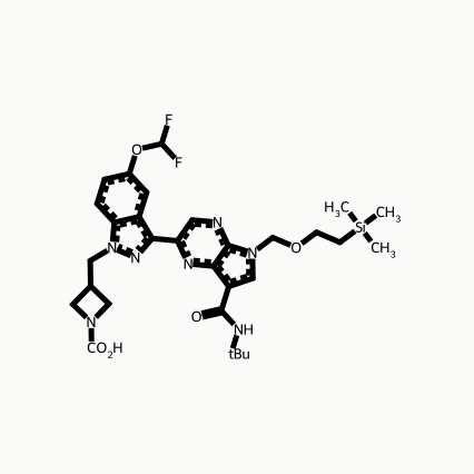 CC(C)(C)NC(=O)c1cn(COCC[Si](C)(C)C)c2ncc(-c3nn(CC4CN(C(=O)O)C4)c4ccc(OC(F)F)cc34)nc12